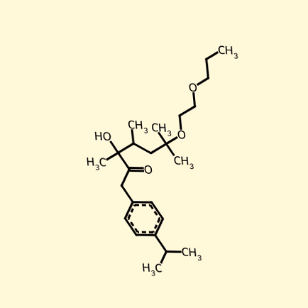 CCCOCCOC(C)(C)CC(C)C(C)(O)C(=O)Cc1ccc(C(C)C)cc1